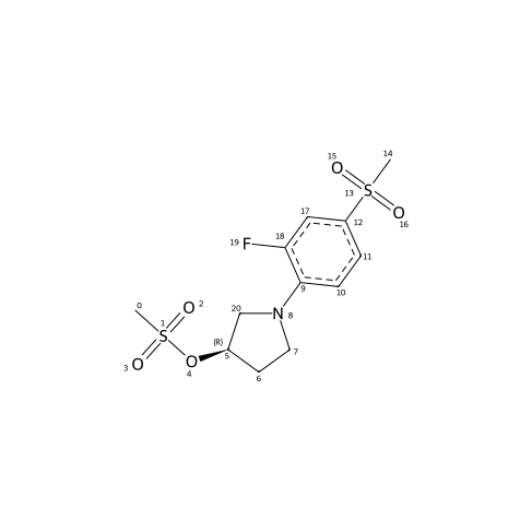 CS(=O)(=O)O[C@@H]1CCN(c2ccc(S(C)(=O)=O)cc2F)C1